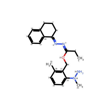 CCC(=NN=C1CCCc2ccccc21)OCc1c(C)cccc1N(C)N